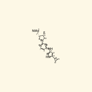 CNC[C@H]1CN(c2nccc(Nc3cc(C4CC4)[nH]n3)n2)C[C@H]1F